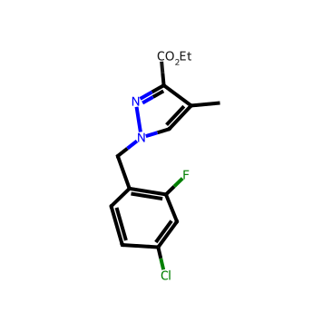 CCOC(=O)c1nn(Cc2ccc(Cl)cc2F)cc1C